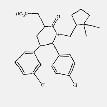 CC1(C)CCCC1CN1C(=O)C(CC(=O)O)CC(c2cccc(Cl)c2)C1c1ccc(Cl)cc1